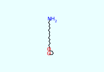 NCCCCCCCCCCCCCCCOC1CCCCO1